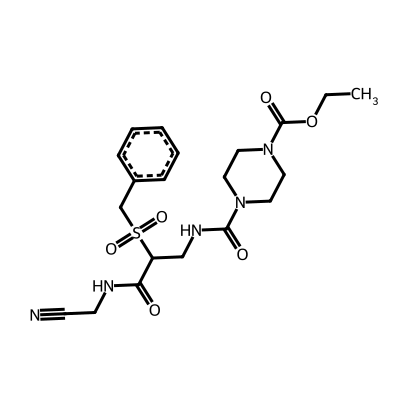 CCOC(=O)N1CCN(C(=O)NCC(C(=O)NCC#N)S(=O)(=O)Cc2ccccc2)CC1